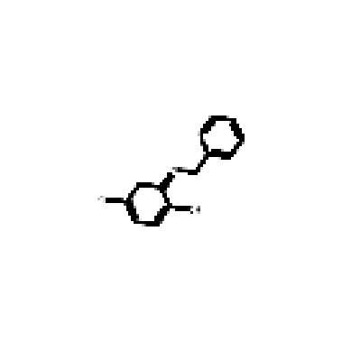 OC1=CC=C(Cl)CC1=NCc1ccccn1